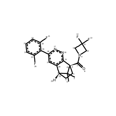 CC1(C)[C@@H]2CC[C@@]1(C(=O)N1CC(F)(F)C1)c1nnc(-c3c(F)cccc3F)cc12